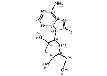 Cc1nc2c(N)ncnc2n1C(OC(CO)CO)C(C)O